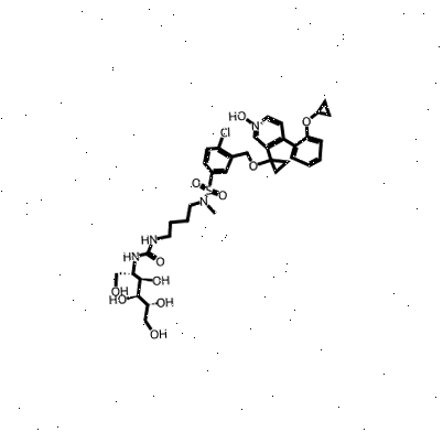 CN(CCCCNC(=O)N[C@@H](CO)[C@@H](O)[C@H](O)[C@H](O)CO)S(=O)(=O)c1ccc(Cl)c(COC2(c3c[n+](O)ccc3-c3ccccc3OC3CC3)CC2)c1